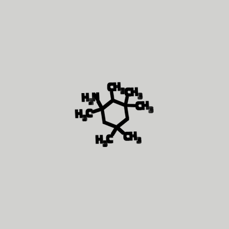 CC1C(C)(C)CC(C)(C)CC1(C)N